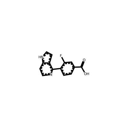 O=C(O)c1ccc(-c2nccc3[nH]ccc23)c(F)c1